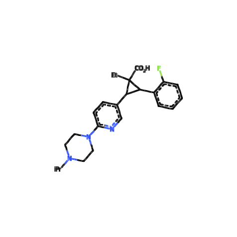 CCC1(C(=O)O)C(c2ccc(N3CCN(C(C)C)CC3)nc2)C1c1ccccc1F